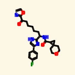 O=C(CCCCCC(NC(=O)C1CC12CCOCC2)c1nc(-c2ccc(F)cc2)c[nH]1)c1ncco1